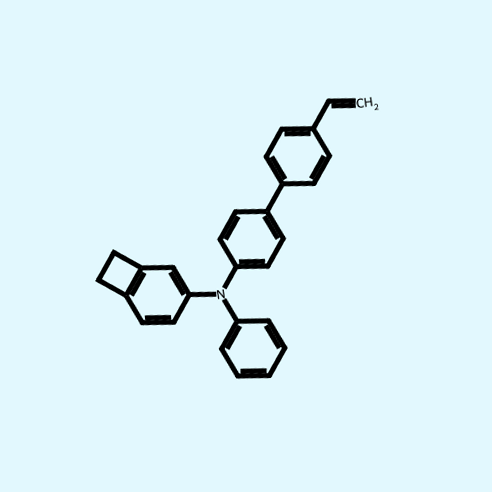 C=Cc1ccc(-c2ccc(N(c3ccccc3)c3ccc4c(c3)CC4)cc2)cc1